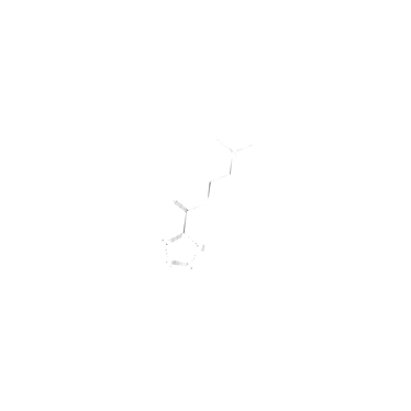 CN(C)CCOC(=O)c1nnn[nH]1